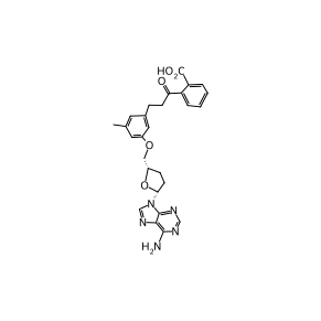 Cc1cc(CCC(=O)c2ccccc2C(=O)O)cc(OC[C@@H]2CC[C@H](n3cnc4c(N)ncnc43)O2)c1